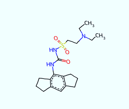 CCN(CC)CCS(=O)(=O)NC(=O)Nc1c2c(cc3c1CCC3)CCC2